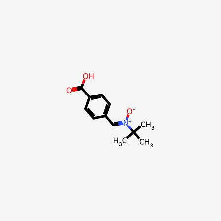 CC(C)(C)/[N+]([O-])=C/c1ccc(C(=O)O)cc1